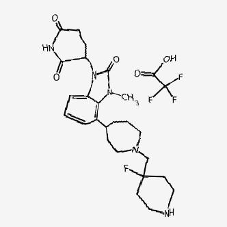 Cn1c(=O)n(C2CCC(=O)NC2=O)c2cccc(C3CCN(CC4(F)CCNCC4)CC3)c21.O=C(O)C(F)(F)F